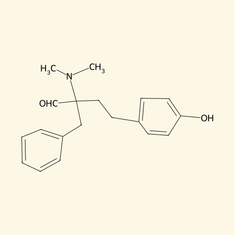 CN(C)C(C=O)(CCc1ccc(O)cc1)Cc1ccccc1